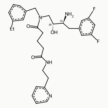 CCc1cccc(CN(C[C@@H](O)[C@@H](N)Cc2cc(F)cc(F)c2)C(=O)CCCC(=O)NCCc2ccccn2)c1